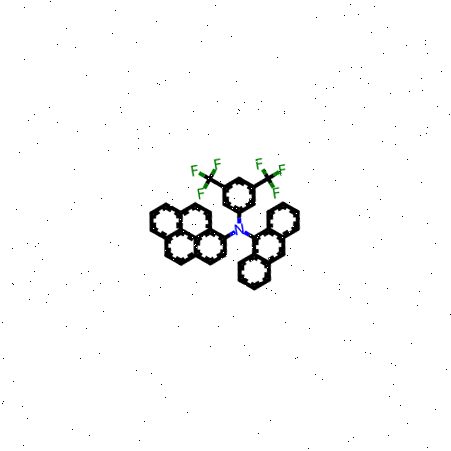 FC(F)(F)c1cc(N(c2c3ccccc3cc3ccccc23)c2ccc3ccc4cccc5ccc2c3c45)cc(C(F)(F)F)c1